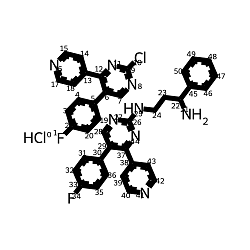 Cl.Fc1ccc(-c2cnc(Cl)nc2-c2ccncc2)cc1.NC(CCNc1ncc(-c2ccc(F)cc2)c(-c2ccncc2)n1)c1ccccc1